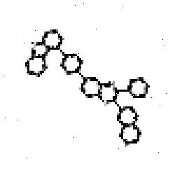 c1ccc(-c2nc3cc(-c4ccc(-c5cccc6sc7ccccc7c56)cc4)ccc3nc2-c2ccc3ccccc3c2)cc1